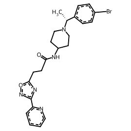 C[C@H](c1ccc(Br)cc1)N1CCC(NC(=O)CCc2nc(-c3ccccn3)no2)CC1